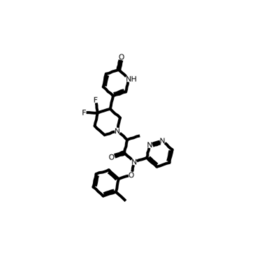 Cc1ccccc1ON(C(=O)C(C)N1CCC(F)(F)C(c2ccc(=O)[nH]c2)C1)c1cccnn1